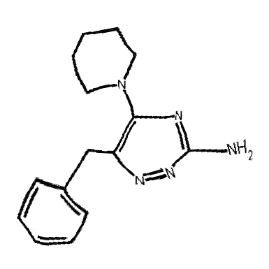 Nc1nnc(Cc2ccccc2)c(N2CCCCC2)n1